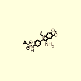 CCn1c(-c2ccc(NS(=O)(=O)C3CC3)cc2)c(N)c2cc3c(cc21)OCO3